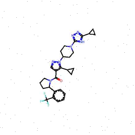 O=C(c1cnn(C2CCN(c3nnc(C4CC4)[nH]3)CC2)c1C1CC1)N1CCCC1c1ccccc1C(F)(F)F